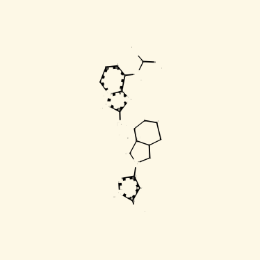 Cc1cc(N2CC3CCC[C@@H](Nc4nc5c(OC(C)C(F)(F)F)cccn5n4)[C@@H]3C2)on1